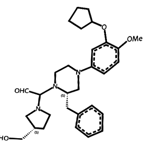 COc1ccc(N2CCN(C(C=O)N3CC[C@H](CO)C3)[C@@H](Cc3ccccc3)C2)cc1OC1CCCC1